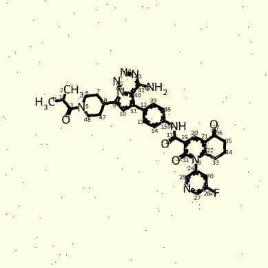 CC(C)C(=O)N1CCC(c2cc(-c3ccc(NC(=O)c4cc5c(n(-c6cncc(F)c6)c4=O)CCCC5=O)cc3)c3c(N)nnnn23)CC1